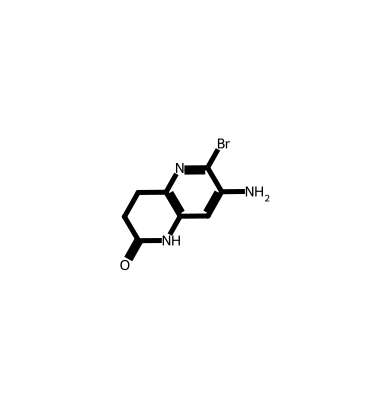 Nc1cc2c(nc1Br)CCC(=O)N2